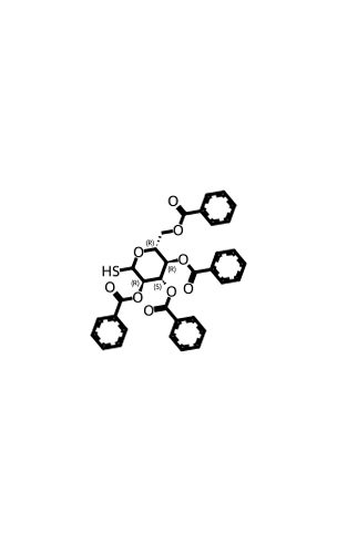 O=C(OC[C@H]1OC(S)[C@H](OC(=O)c2ccccc2)[C@@H](OC(=O)c2ccccc2)[C@@H]1OC(=O)c1ccccc1)c1ccccc1